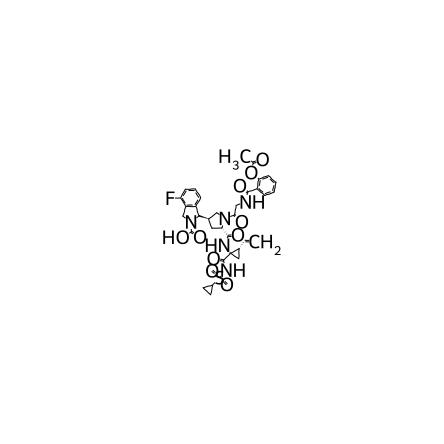 C=C[C@@H]1C[C@]1(NC(=O)[C@@H]1C[C@@H](C2c3cccc(F)c3CN2C(=O)O)CN1C(=O)CNC(=O)c1ccccc1OC(C)=O)C(=O)NS(=O)(=O)C1CC1